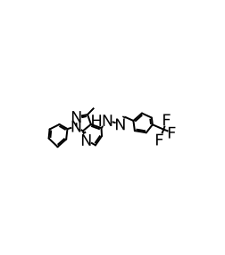 Cc1nn(-c2ccccc2)c2nccc(N/N=C/c3ccc(C(F)(F)F)cc3)c12